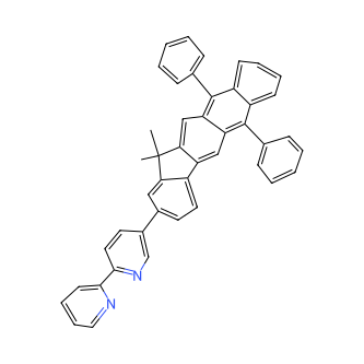 CC1(C)c2cc(-c3ccc(-c4ccccn4)nc3)ccc2-c2cc3c(-c4ccccc4)c4ccccc4c(-c4ccccc4)c3cc21